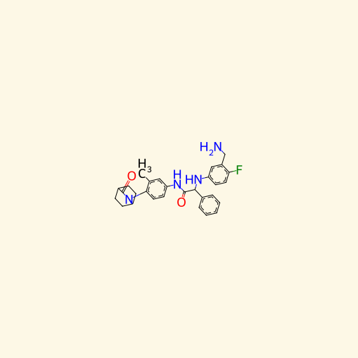 Cc1cc(NC(=O)C(Nc2ccc(F)c(CN)c2)c2ccccc2)ccc1N1C(=O)C2CCC1CC2